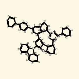 c1ccc(-c2ccc(-c3cccc(-c4cc(-n5c6ccccc6c6ccccc65)c5oc6cccc(-c7nc(-c8ccccc8)nc(-c8ccccc8)n7)c6c5c4)c3)cc2)cc1